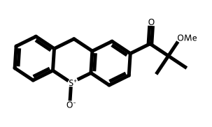 COC(C)(C)C(=O)c1ccc2c(c1)Cc1ccccc1[S+]2[O-]